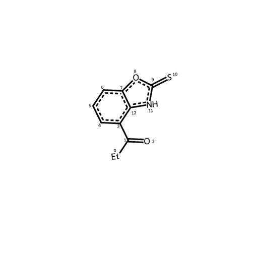 CCC(=O)c1cccc2oc(=S)[nH]c12